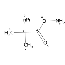 CCCC(C)(C)C(=O)ON